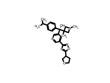 CC(C)c1ccc([C@](O)(c2cncc(-c3noc(C4CCOC4)n3)c2)C2(C)CN(C)C2)cc1